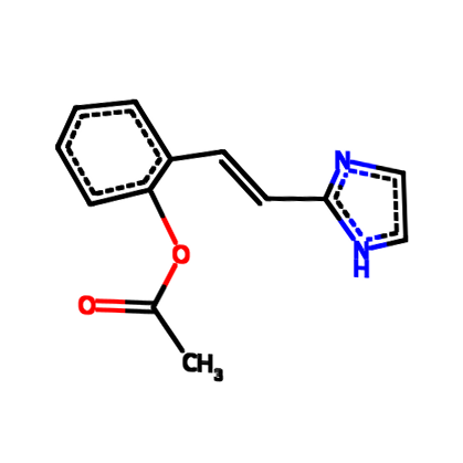 CC(=O)Oc1ccccc1C=Cc1ncc[nH]1